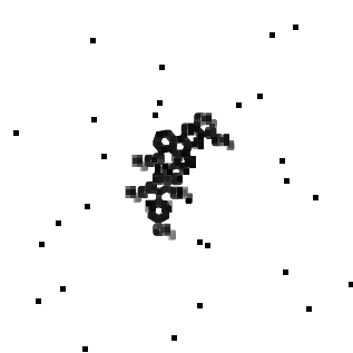 C=C/C(=N\c1c(C)c2cccc(OC)c2n2c(NS(=O)(=O)[C@@H](C)[C@H](OC)c3ncc(C)cn3)nnc12)OC